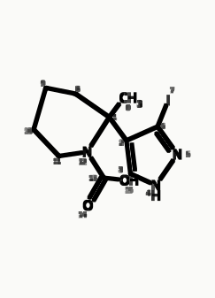 CC1(c2c[nH]nc2I)CCCCN1C(=O)O